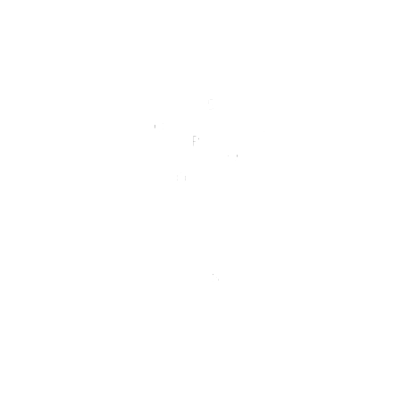 CCOP(=S)(OCC)OCCSCC